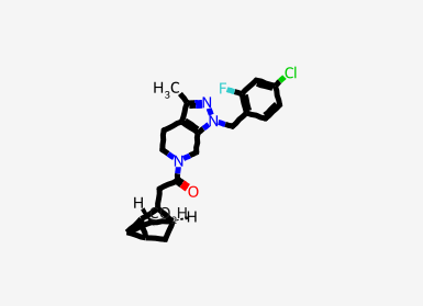 Cc1nn(Cc2ccc(Cl)cc2F)c2c1CCN(C(=O)CC1C3C4C[C@H]1[C@@H](C(=O)O)C43)C2